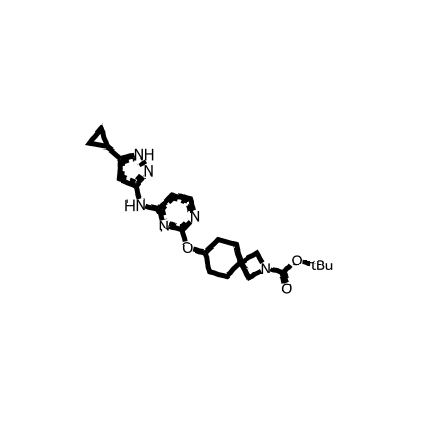 CC(C)(C)OC(=O)N1CC2(CCC(Oc3nccc(Nc4cc(C5CC5)[nH]n4)n3)CC2)C1